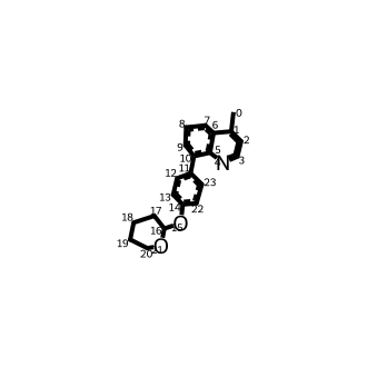 CC1=C=C=Nc2c1cccc2-c1ccc(OC2CCCCO2)cc1